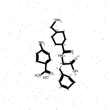 Cl.NC(=O)c1ccc(N)cc1.NCC1CCC(C(=O)N[C@@H](Cc2ccccc2)C(=O)O)CC1